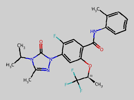 Cc1ccccc1NC(=O)c1cc(F)c(-n2nc(C)n(C(C)C)c2=O)cc1O[C@@H](C)C(F)(F)F